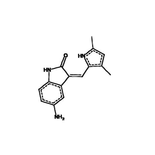 Cc1cc(C)c(/C=C2\C(=O)Nc3ccc(N)cc32)[nH]1